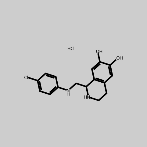 Cl.Oc1cc2c(cc1O)C(CNc1ccc(Cl)cc1)NCC2